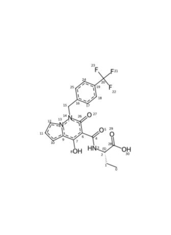 CC[C@H](NC(=O)c1c(O)c2cccn2n(Cc2ccc(C(F)(F)F)cc2)c1=O)C(=O)O